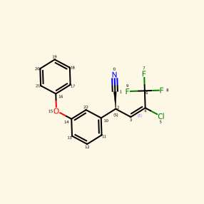 N#C[C@@H](/C=C(/Cl)C(F)(F)F)c1cccc(Oc2ccccc2)c1